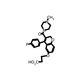 CN1CCN(C(=O)C2=C(c3ccc(F)cc3)c3cc(OCCC(=O)O)ccc3OC2)CC1